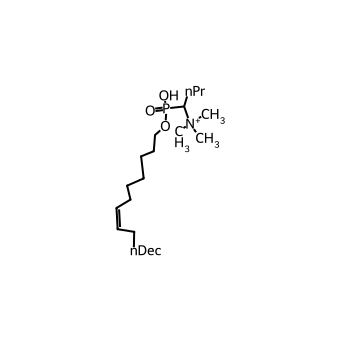 CCCCCCCCCCC/C=C\CCCCCCOP(=O)(O)C(CCC)[N+](C)(C)C